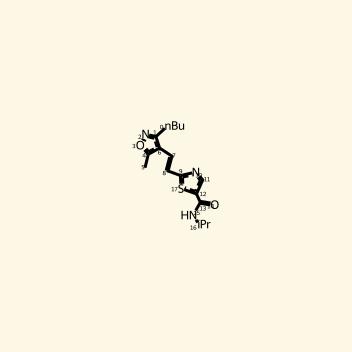 CCCCc1noc(C)c1/C=C/c1ncc(C(=O)NC(C)C)s1